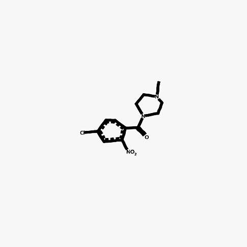 CN1CCN(C(=O)c2ccc(Cl)cc2[N+](=O)[O-])CC1